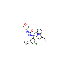 O=C(NC1CCOCC1)N[C@@](Cc1ccccc1)(c1cc(F)cc(C(F)(F)F)c1)c1ccc(CI)cn1